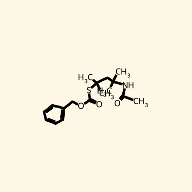 CC(=O)NC(C)(C)CC(C)(C)SC(=O)OCc1ccccc1